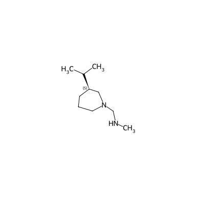 CNCN1CCC[C@@H](C(C)C)C1